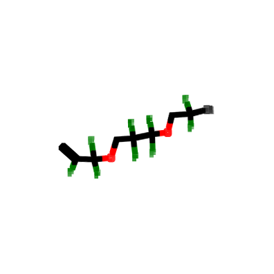 C=C(F)C(F)(F)OCC(F)(F)C(F)(F)OCC(F)(F)CC